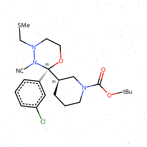 CSCN1CCO[C@@](c2cccc(Cl)c2)([C@@H]2CCCN(C(=O)OC(C)(C)C)C2)N1C#N